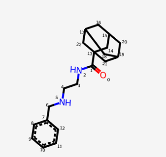 O=C(NCCNCc1ccccc1)C12CC3CC(CC(C3)C1)C2